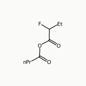 CCCC(=O)OC(=O)C(F)CC